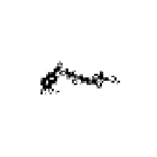 COc1ccc2cc(CC(=O)OCCC[S+]([O-])CCCOC(=O)OC(C)O[N+](=O)[O-])ccc2c1